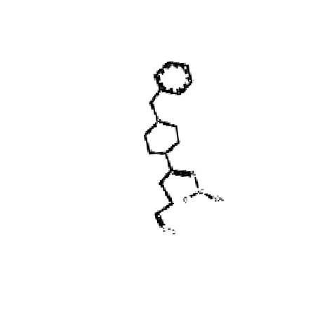 C=CCCC(=N[S@+]([O-])C(C)(C)C)C1CCN(Cc2ccccc2)CC1